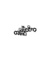 CCOc1cc2c(cc1C(=O)NCC(O)C1Cc3ccccc3CN1)CCN(Cc1ccccc1)C2=O.Cl